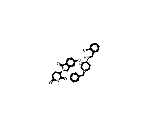 O=C1CCC(N2Cc3cc(O[C@H]4CN(Cc5ccccc5)CC[C@@H]4NCc4ccccc4Cl)ccc3C2=O)C(=O)N1